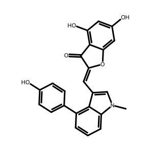 Cn1cc(C=C2Oc3cc(O)cc(O)c3C2=O)c2c(-c3ccc(O)cc3)cccc21